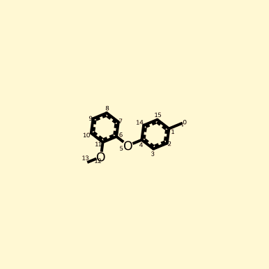 [CH2]c1ccc(Oc2ccccc2OC)cc1